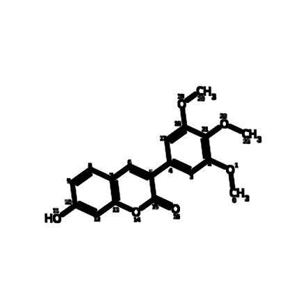 COc1cc(-c2cc3ccc(O)cc3oc2=O)cc(OC)c1OC